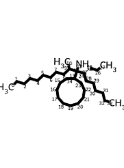 CCCCCCCCCC(C)C(N)(C1CCCCCCCCCC1)[C@H](CCC)CCCCCC